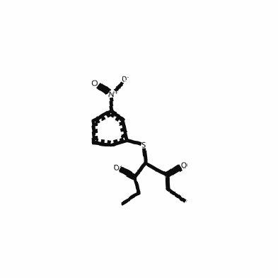 CCC(=O)C(Sc1cccc([N+](=O)[O-])c1)C(=O)CC